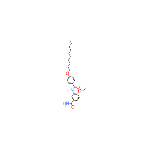 CCCCCCCCCCOc1ccc(C(=O)Nc2cc(C(=O)NC)ccc2OCC)cc1